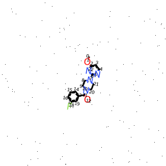 COc1ccnc(N2CCN(C(=O)c3cccc(F)c3)CC2)n1